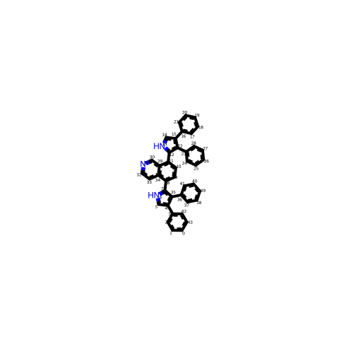 c1ccc(-c2c[nH]c(-c3ccc(-c4[nH]cc(-c5ccccc5)c4-c4ccccc4)c4cnccc34)c2-c2ccccc2)cc1